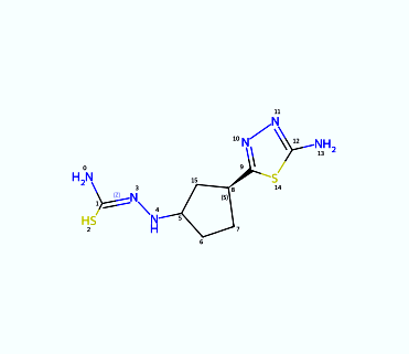 N/C(S)=N/NC1CC[C@H](c2nnc(N)s2)C1